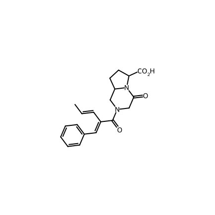 C/C=C/C(=C\c1ccccc1)C(=O)N1CC(=O)N2C(CCC2C(=O)O)C1